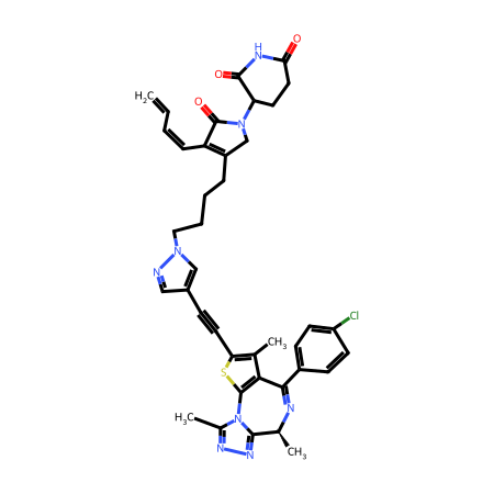 C=C/C=C\C1=C(CCCCn2cc(C#Cc3sc4c(c3C)C(c3ccc(Cl)cc3)=N[C@@H](C)c3nnc(C)n3-4)cn2)CN(C2CCC(=O)NC2=O)C1=O